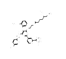 COc1ccccc1Oc1c(NS(=O)(=O)c2ccc(C(C)C)cn2)nc(-c2ccnc(-c3nnn[nH]3)c2)nc1OCCOC(=O)CCCC(CO[N+](=O)[O-])O[N+](=O)[O-]